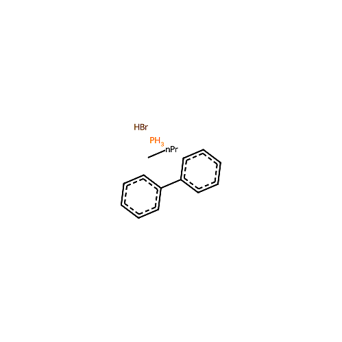 Br.CCCC.P.c1ccc(-c2ccccc2)cc1